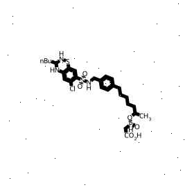 CCCCC1NSc2cc(S(=O)(=O)NCc3ccc(CCCCCC(C)O[PH](=O)CC(=O)O)cc3)c(Cl)cc2N1